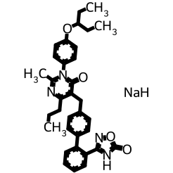 CCCc1nc(C)n(-c2ccc(OC(CC)CC)cc2)c(=O)c1Cc1ccc(-c2ccccc2-c2noc(=O)[nH]2)cc1.[NaH]